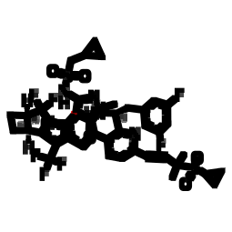 Cn1nc(NS(=O)(=O)CC2CC2)c2c(Cl)ccc(-c3ccc(C#CC(C)(C)S(=O)(=O)C4CC4)nc3[C@H](Cc3cc(F)cc(F)c3)NC(=O)Cn3cc(C(F)(F)F)c4c3C(F)(F)[C@@H]3CC[C@H]43)c21